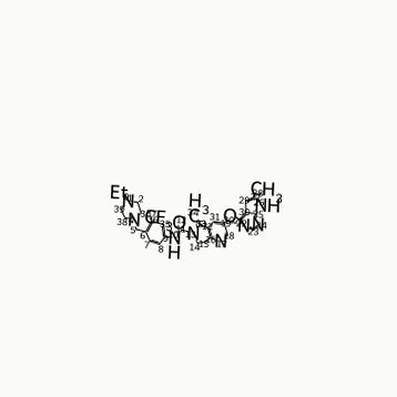 CCN1CCN(Cc2ccc(NC(=O)N3CCc4ncc(Oc5ncnc6[nH]c(C)cc56)cc4[C@@H]3C)cc2C(F)(F)F)CC1